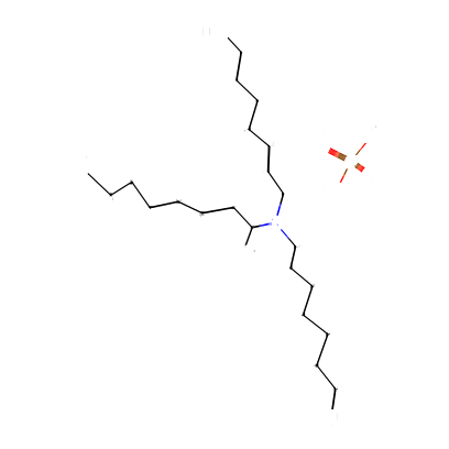 CCCCCCCCN(CCCCCCCC)C(C)CCCCCCC.O=S(=O)(O)O